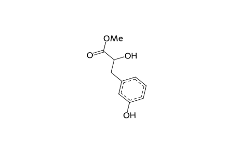 COC(=O)C(O)Cc1cccc(O)c1